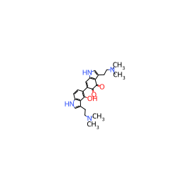 CN(C)CCc1c[nH]c2c1C(=O)C(=O)C(c1ccc3[nH]cc(CCN(C)C)c3c1O)=C2